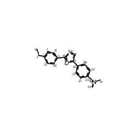 CCc1ccc(-c2ncc(-c3ccc(N(C)C)cc3)o2)cc1